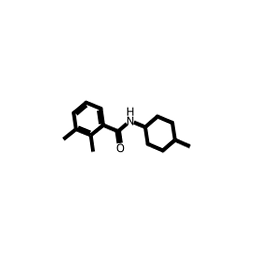 Cc1cccc(C(=O)NC2CCC(C)CC2)c1C